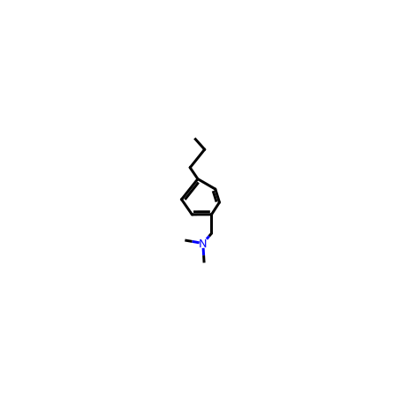 CCCc1ccc(CN(C)C)cc1